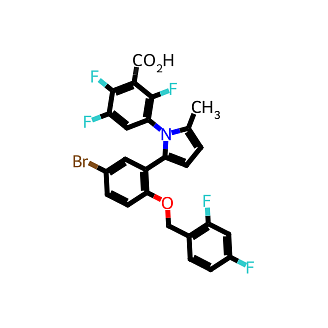 Cc1ccc(-c2cc(Br)ccc2OCc2ccc(F)cc2F)n1-c1cc(F)c(F)c(C(=O)O)c1F